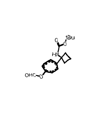 CC(C)(C)OC(=O)NC1(c2ccc(OC=O)cc2)CCC1